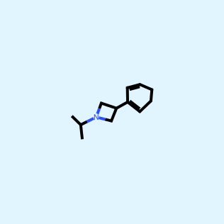 CC(C)N1CC(C2=CCCC=C2)C1